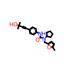 Cc1ccc(CN(C(=O)Nc2ccc(C#CC(C)(C)O)cc2)C2CCCC2)o1